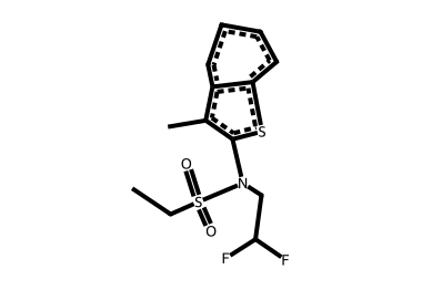 CCS(=O)(=O)N(CC(F)F)c1sc2ccccc2c1C